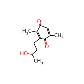 C[C](O)CCC1=C(C)C(=O)C=C(C)C1=O